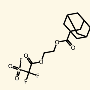 O=C(OCCOC(=O)C(F)(F)S(=O)(=O)F)C12CC3CC(CC(C3)C1)C2